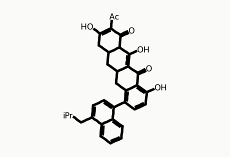 CC(=O)C1=C(O)CC2CC3Cc4c(-c5ccc(CC(C)C)c6ccccc56)ccc(O)c4C(=O)C3=C(O)C2C1=O